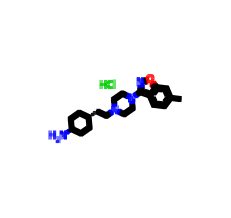 Cc1ccc2c(N3CCN(CC[C@H]4CC[C@H](N)CC4)CC3)noc2c1.Cl